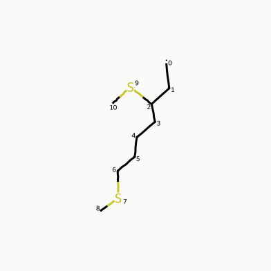 [CH2]CC(CCCCSC)SC